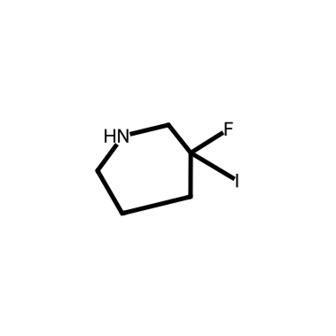 FC1(I)CCCNC1